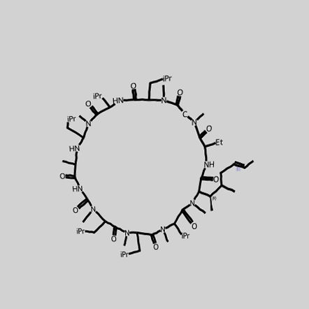 C/C=C/CC(C)[C@@H](C)C1C(=O)NC(CC)C(=O)N(C)CC(=O)N(C)C(CC(C)C)C(=O)NC(C(C)C)C(=O)N(C)C(CC(C)C)NC(C)C(=O)NC(=O)N(C)C(CC(C)C)C(=O)N(C)C(CC(C)C)C(=O)N(C)C(C(C)C)C(=O)N1C